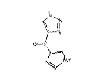 [O-][S+](c1c[nH]nn1)c1c[nH]nn1